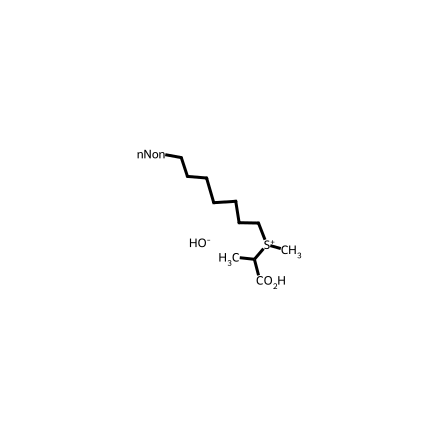 CCCCCCCCCCCCCCCC[S+](C)C(C)C(=O)O.[OH-]